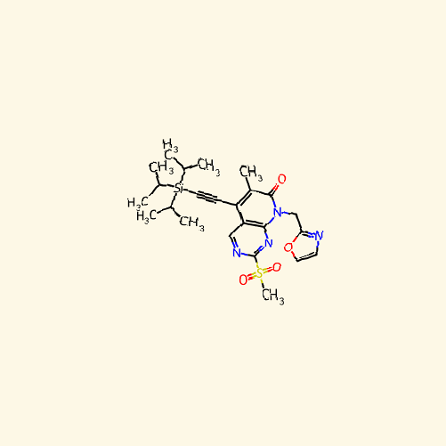 Cc1c(C#C[Si](C(C)C)(C(C)C)C(C)C)c2cnc(S(C)(=O)=O)nc2n(Cc2ncco2)c1=O